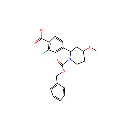 COC1CCN(C(=O)OCc2ccccc2)C(c2ccc(C(=O)O)c(Cl)c2)C1